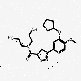 COc1ccc(C2=NOC(C(=O)N(CCO)CCO)C2)cc1OC1CCCC1